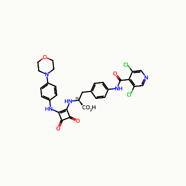 O=C(Nc1ccc(C[C@H](Nc2c(Nc3ccc(N4CCOCC4)cc3)c(=O)c2=O)C(=O)O)cc1)c1c(Cl)cncc1Cl